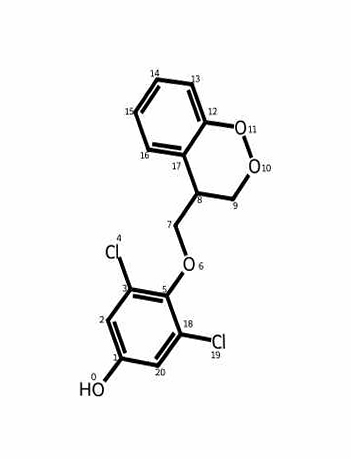 Oc1cc(Cl)c(OCC2COOc3ccccc32)c(Cl)c1